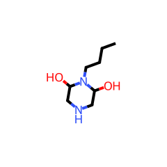 CCCCN1C(O)CNCC1O